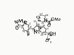 CNC(=O)c1ccc(-c2nc3cc(C(O)C(F)(F)F)ccn3c2C[C@H]2CN(C(=O)OC)CCO2)c(F)c1